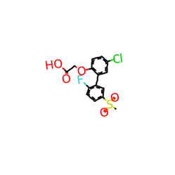 CS(=O)(=O)c1ccc(F)c(-c2cc(Cl)ccc2OCC(=O)O)c1